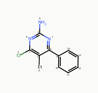 CCc1c(Cl)nc(N)nc1-c1ccccc1